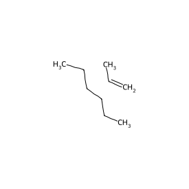 C=CC.CCCCCC